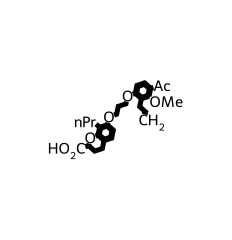 C=CCc1c(OCCCOc2ccc3c(c2CCC)OC(C(=O)O)CC3)ccc(C(C)=O)c1OC